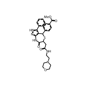 COC(=O)c1ccc(C2SC(CC(=O)NCCN3CCOCC3)C(=O)Nc3n[nH]c(-c4ccccc4)c32)cc1